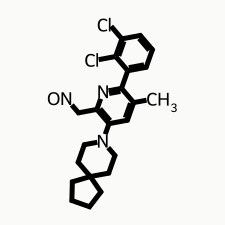 Cc1cc(N2CCC3(CCCC3)CC2)c(CN=O)nc1-c1cccc(Cl)c1Cl